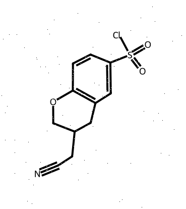 N#CCC1COc2ccc(S(=O)(=O)Cl)cc2C1